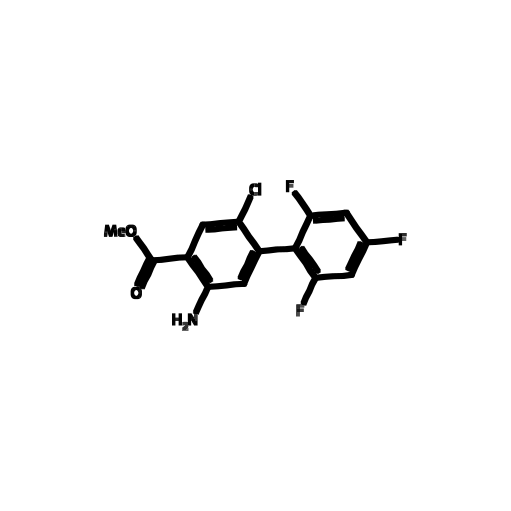 COC(=O)c1cc(Cl)c(-c2c(F)cc(F)cc2F)cc1N